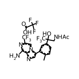 CC(=O)NCC(O)(c1ccc(C)c(-c2cnc3c(N)nc(C(F)(F)F)cn23)c1)C(F)(F)F.O=C(O)C(F)(F)F